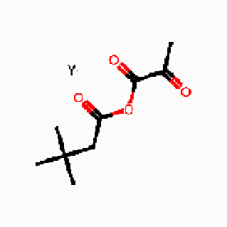 CC(=O)C(=O)OC(=O)CC(C)(C)C.[Y]